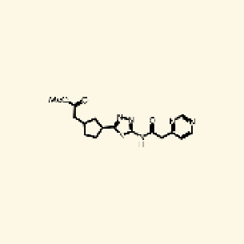 COC(=O)CC1CCC(c2nnc(NC(=O)Cc3ccncn3)s2)C1